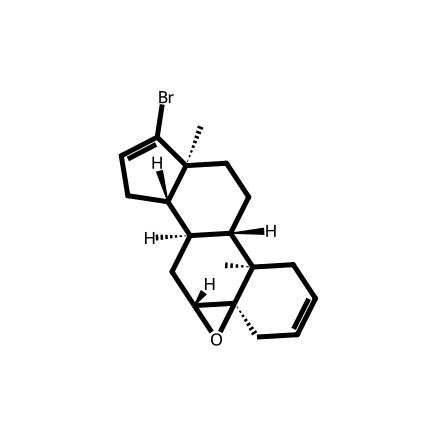 C[C@]12CC[C@H]3[C@@H](C[C@H]4O[C@@]45CC=CC[C@]35C)[C@@H]1CC=C2Br